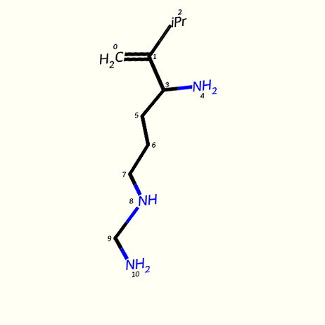 C=C(C(C)C)C(N)CCCNCN